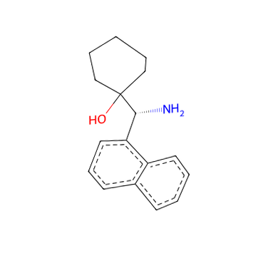 N[C@H](c1cccc2ccccc12)C1(O)CCCCC1